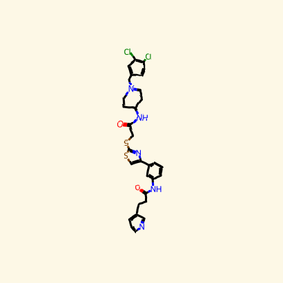 O=C(CCc1cccnc1)Nc1cccc(-c2csc(SCC(=O)NC3CCN(Cc4ccc(Cl)c(Cl)c4)CC3)n2)c1